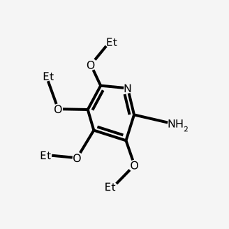 CCOc1nc(N)c(OCC)c(OCC)c1OCC